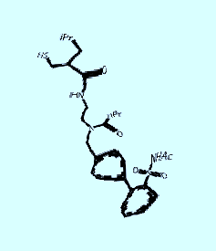 CCCC(=O)N(CCNC(=O)[C@@H](CS)CC(C)C)Cc1ccc(-c2ccccc2S(=O)(=O)NC(C)=O)cc1